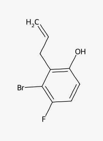 C=CCc1c(O)ccc(F)c1Br